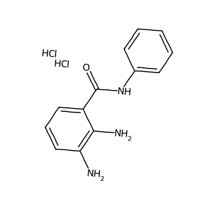 Cl.Cl.Nc1cccc(C(=O)Nc2ccccc2)c1N